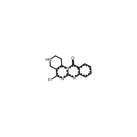 CCc1nc2nc3ccccc3c(=O)n2c2c1CNCC2